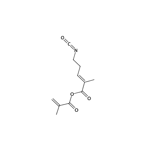 C=C(C)C(=O)OC(=O)C(C)=CCCN=C=O